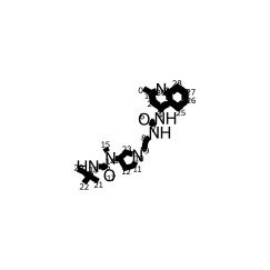 Cc1cc(NC(=O)NCCN2CCC(N(C)C(=O)NC(C)(C)C)C2)c2ccccc2n1